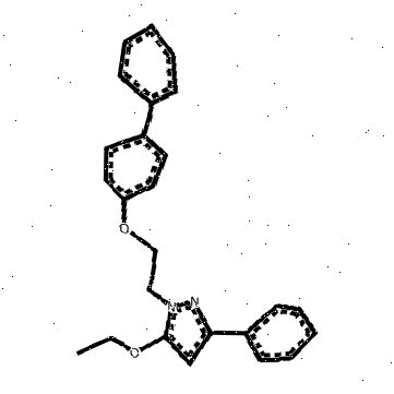 CCOc1cc(-c2ccccc2)nn1CCOc1ccc(-c2ccccc2)cc1